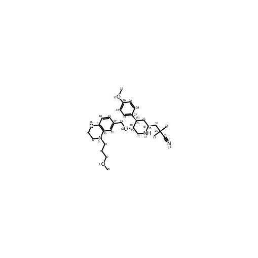 COCCCN1CCOc2ccc(CO[C@H]3CN[C@H](CC(C)(C)C#N)C[C@@H]3c3ccc(OC)cc3)cc21